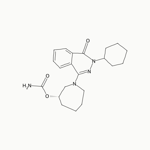 NC(=O)O[C@H]1CCCCN(c2nn(C3CCCCC3)c(=O)c3ccccc23)C1